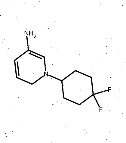 NC1=CN(C2CCC(F)(F)CC2)CC=C1